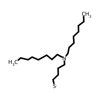 CCCCCCCCN(CCCC[S])CCCCCCCC